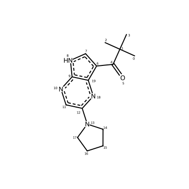 CC(C)(C)C(=O)c1c[nH]c2ncc(N3CCCC3)nc12